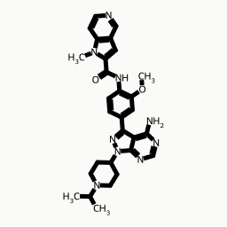 COc1cc(-c2nn(C3CCN(C(C)C)CC3)c3ncnc(N)c23)ccc1NC(=O)c1cc2cnccc2n1C